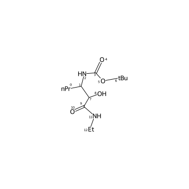 CCCC(NC(=O)OC(C)(C)C)C(O)C(=O)NCC